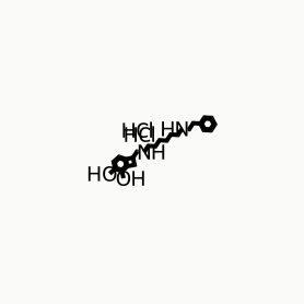 Cl.Cl.Oc1ccc2c(c1O)CC2CNCCCCCCNCCc1ccccc1